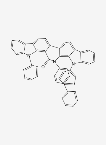 O=c1c2c(ccc3c4ccccc4n(-c4ccccc4)c32)c2ccc3c4ccccc4n(-c4ccccc4)c3c2n1-c1ccc(-c2ccccc2)cc1